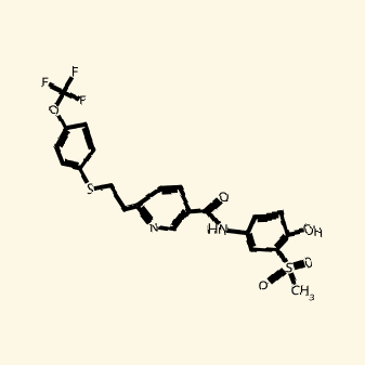 CS(=O)(=O)c1cc(NC(=O)c2ccc(CCSc3ccc(OC(F)(F)F)cc3)nc2)ccc1O